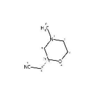 CN1CCO[C@H](CC#N)C1